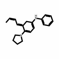 C/C=C\C=C1/CC(Nc2ccccc2)=CC=C1N1CCCC1